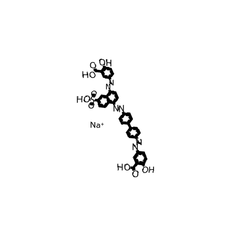 O=C(O)c1cc(N=Nc2ccc(-c3ccc(N=Nc4ccc(N=Nc5ccc(O)c(C(=O)O)c5)c5cc(S(=O)(=O)O)ccc45)cc3)cc2)ccc1O.[Na+]